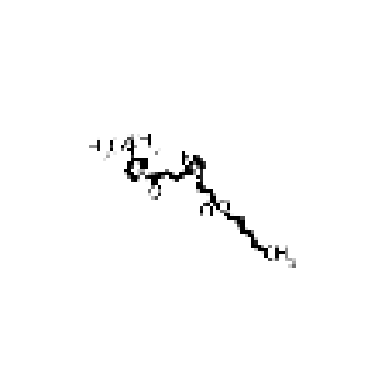 CCCCCCOC(=O)CCn1ccnc1CCC(=O)N1CC[C@H](N(C)C)C1